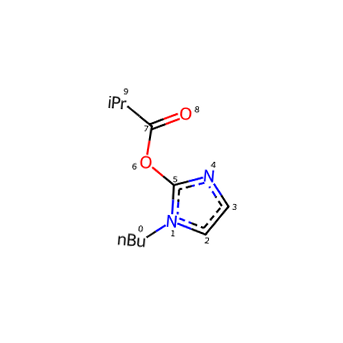 CCCCn1ccnc1OC(=O)C(C)C